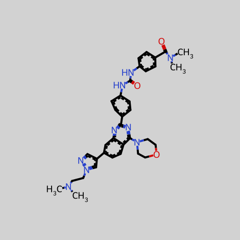 CN(C)CCn1cc(-c2ccc3c(N4CCOCC4)nc(-c4ccc(NC(=O)Nc5ccc(C(=O)N(C)C)cc5)cc4)nc3c2)cn1